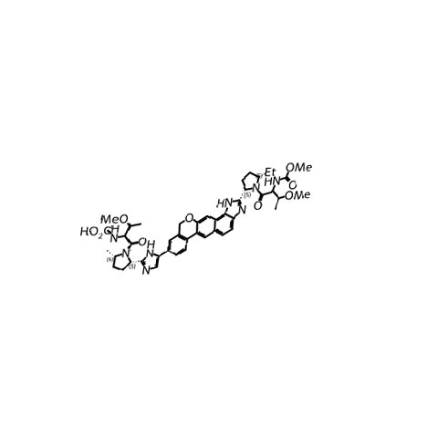 CC[C@H]1CC[C@@H](c2nc3ccc4cc5c(cc4c3[nH]2)OCc2cc(-c3cnc([C@@H]4CC[C@H](C)N4C(=O)C(NC(=O)O)C(C)OC)[nH]3)ccc2-5)N1C(=O)C(NC(=O)OC)C(C)OC